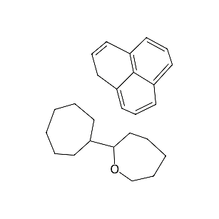 C1=Cc2cccc3cccc(c23)C1.C1CCCC(C2CCCCCO2)CC1